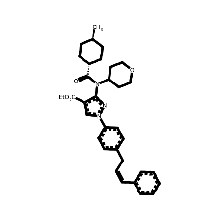 CCOC(=O)c1cn(-c2ccc(C/C=C\c3ccccc3)cc2)nc1N(C(=O)[C@H]1CC[C@H](C)CC1)C1CCOCC1